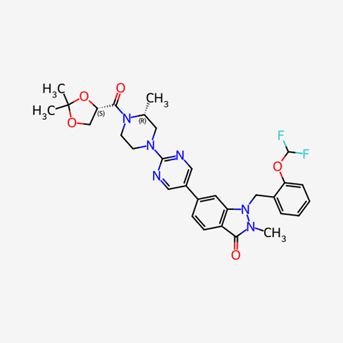 C[C@@H]1CN(c2ncc(-c3ccc4c(=O)n(C)n(Cc5ccccc5OC(F)F)c4c3)cn2)CCN1C(=O)[C@@H]1COC(C)(C)O1